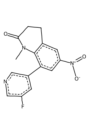 CN1C(=O)CCc2cc([N+](=O)[O-])cc(-c3cncc(F)c3)c21